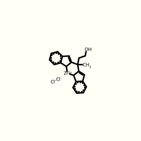 CC1(CCO)C2=Cc3ccccc3[CH]2[Zr+2][CH]2C1=Cc1ccccc12.[Cl-].[Cl-]